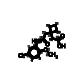 COc1ccc(Cl)cc1NC(=O)CC1(CC(=O)O)CCC1